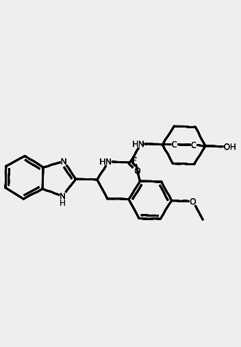 COc1ccc(CC(NC(=O)NC23CCC(O)(CC2)CC3)c2nc3ccccc3[nH]2)c(F)c1